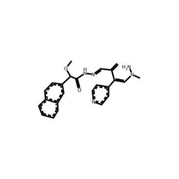 C=C(/C=N/NC(=O)C(OC)c1ccc2ccccc2c1)/C(=C\N(C)N)c1ccncc1